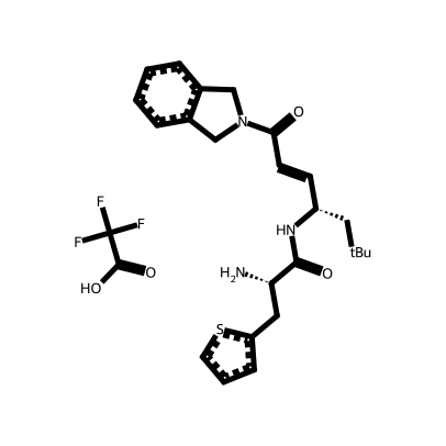 CC(C)(C)C[C@@H](/C=C/C(=O)N1Cc2ccccc2C1)NC(=O)[C@@H](N)Cc1cccs1.O=C(O)C(F)(F)F